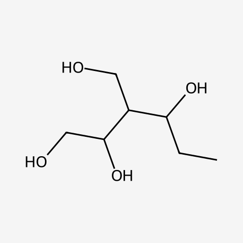 CCC(O)C(CO)C(O)CO